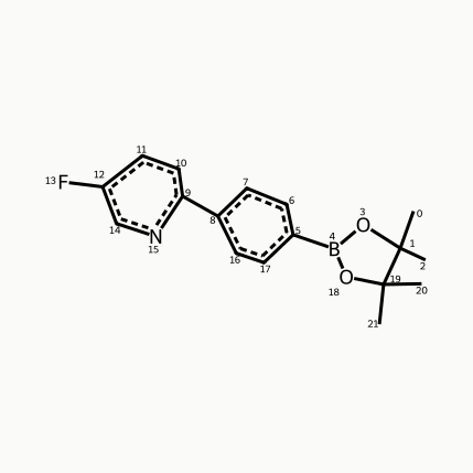 CC1(C)OB(c2ccc(-c3ccc(F)cn3)cc2)OC1(C)C